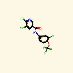 O=C(Nc1ccc(OC(F)(F)F)c(Cl)c1)c1cnc(Cl)c(Br)c1